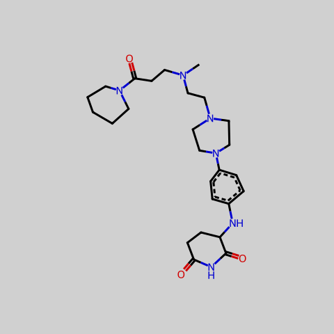 CN(CCC(=O)N1CCCCC1)CCN1CCN(c2ccc(NC3CCC(=O)NC3=O)cc2)CC1